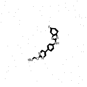 CC(C)(C)COc1ncc(-c2ccc(Nc3nc4ccc(F)cc4s3)cc2)cn1